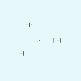 B=[SH](C)=P